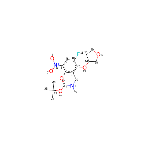 CN(Cc1cc([N+](=O)[O-])cc(F)c1OC1CCOC1)C(=O)OC(C)(C)C